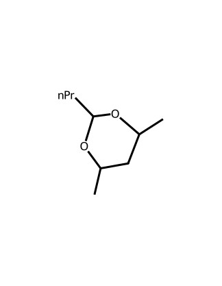 CCCC1OC(C)CC(C)O1